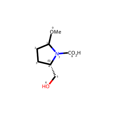 COC1CC[C@@H](CO)N1C(=O)O